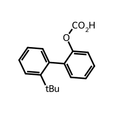 CC(C)(C)c1ccccc1-c1ccccc1OC(=O)O